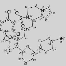 Cc1ccc(Cl)c(S(=O)(=O)N2CCn3cccc3C2COCC(=O)N(C)[C@H]2CCC[C@@H](N3CCN(C(C)C)CC3)C2)c1Cl